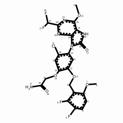 COc1ccc(F)c(F)c1COc1cc(-n2c(=O)[nH]c3c(OC)nc(C(F)F)nc32)c(Cl)cc1OCC(N)=O